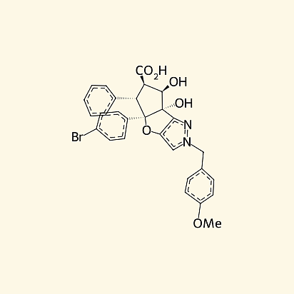 COc1ccc(Cn2cc3c(n2)[C@]2(O)[C@H](O)[C@H](C(=O)O)[C@@H](c4ccccc4)[C@]2(c2ccc(Br)cc2)O3)cc1